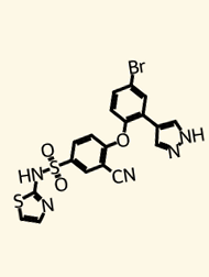 N#Cc1cc(S(=O)(=O)Nc2nccs2)ccc1Oc1ccc(Br)cc1-c1cn[nH]c1